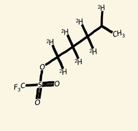 [2H]C(C)C([2H])([2H])C([2H])([2H])C([2H])([2H])OS(=O)(=O)C(F)(F)F